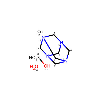 C1N2CN3CN1CN(C2)C3.O.O=S(=O)(O)O.[Cu]